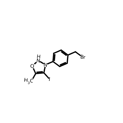 CC1=C(I)N(c2ccc(CBr)cc2)NO1